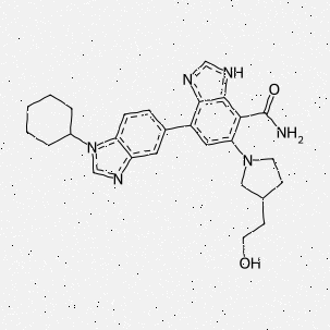 NC(=O)c1c(N2CCC(CCO)C2)cc(-c2ccc3c(c2)ncn3C2CCCCC2)c2nc[nH]c12